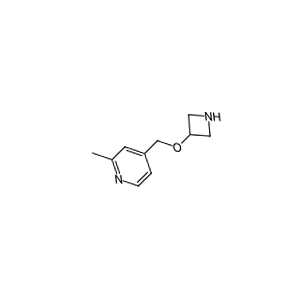 Cc1cc(COC2CNC2)ccn1